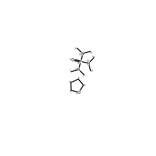 C1CCOC1.CN(C)P(=O)(N(C)C)N(C)C